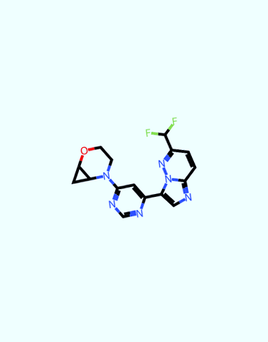 FC(F)c1ccc2ncc(-c3cc(N4CCOC5CC54)ncn3)n2n1